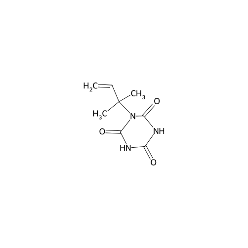 C=CC(C)(C)n1c(=O)[nH]c(=O)[nH]c1=O